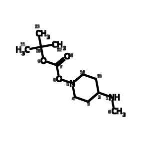 CNC1CCN(OC(=O)OC(C)(C)C)CC1